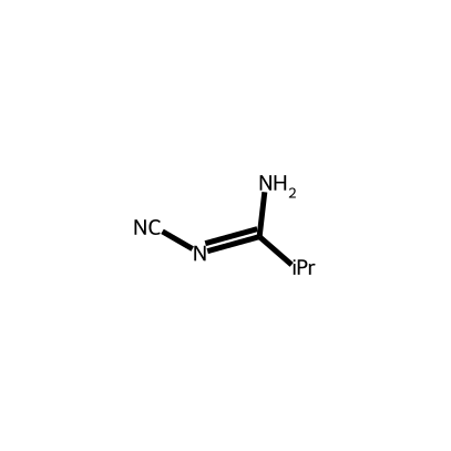 CC(C)/C(N)=N/C#N